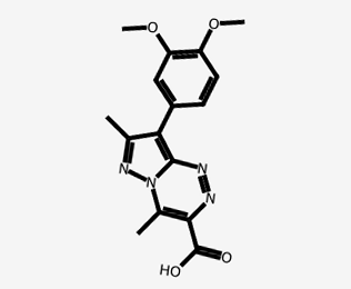 COc1ccc(-c2c(C)nn3c(C)c(C(=O)O)nnc23)cc1OC